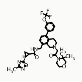 Cc1noc([C@H]2CC2C(=O)NCc2ccc(-c3cccc(OC(F)(F)F)c3)c3c2CN(CC(=O)N2CCOCC2(C)C)CC3)n1